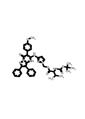 COc1ccc(-c2c(Nc3ccn(COC(=O)C(NC(=O)OC(C)(C)C)C(C)C)n3)[nH]c3c(-c4ccccc4)c(-c4ccccc4)nn3c2=O)cc1